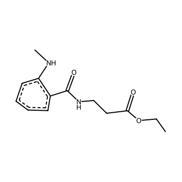 CCOC(=O)CCNC(=O)c1ccccc1NC